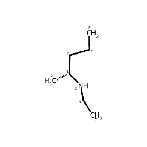 CCC[C@@H](C)NCC